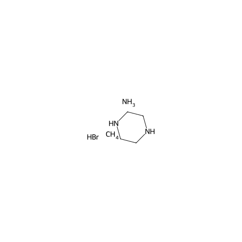 Br.C.C1CNCCN1.N